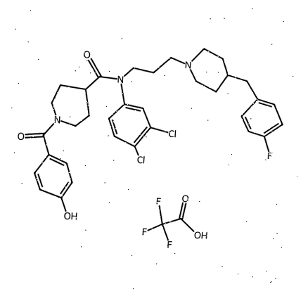 O=C(O)C(F)(F)F.O=C(c1ccc(O)cc1)N1CCC(C(=O)N(CCCN2CCC(Cc3ccc(F)cc3)CC2)c2ccc(Cl)c(Cl)c2)CC1